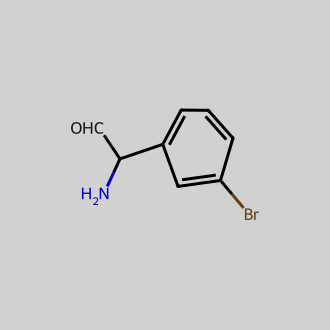 NC(C=O)c1cccc(Br)c1